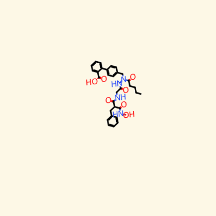 CCCCC(=O)N(Cc1ccc(-c2ccccc2C(=O)O)cc1)NC(=O)CNC(=O)C(Cc1ccccc1)C(=O)NO